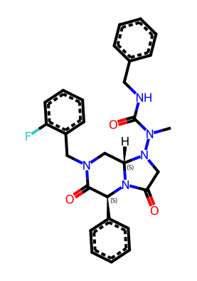 CN(C(=O)NCc1ccccc1)N1CC(=O)N2[C@@H](c3ccccc3)C(=O)N(Cc3ccccc3F)C[C@@H]21